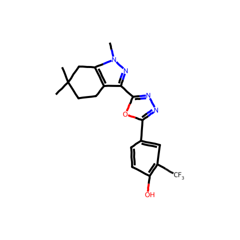 Cn1nc(-c2nnc(-c3ccc(O)c(C(F)(F)F)c3)o2)c2c1CC(C)(C)CC2